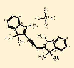 CN1/C(=C\C#CC2=[N+](C)c3ccccc3C2(C)C)C(C)(C)c2ccccc21.[O-][Cl+3]([O-])([O-])[O-]